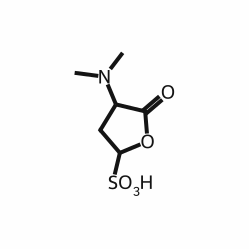 CN(C)C1CC(S(=O)(=O)O)OC1=O